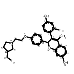 CC1=C(c2ccc(O)cc2F)C(c2ccc(OCCN3CCC(CF)C3)cc2)Oc2cc(O)ccc21